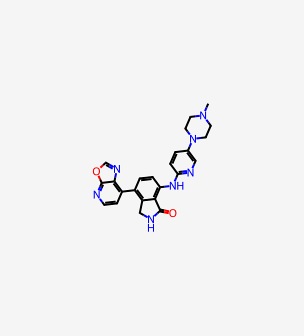 CN1CCN(c2ccc(Nc3ccc(-c4ccnc5ocnc45)c4c3C(=O)NC4)nc2)CC1